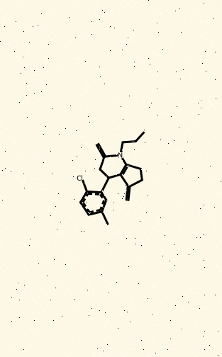 C=C1CCC2=C1C(c1cc(C)ccc1Cl)CC(=C)N2CCC